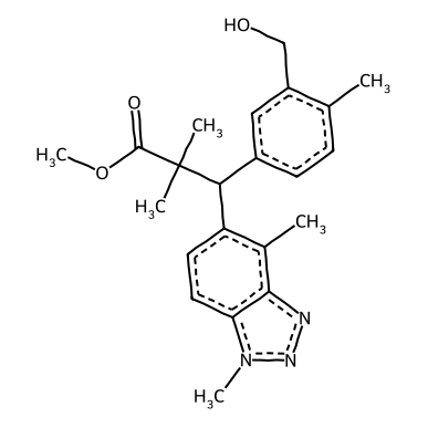 COC(=O)C(C)(C)C(c1ccc(C)c(CO)c1)c1ccc2c(nnn2C)c1C